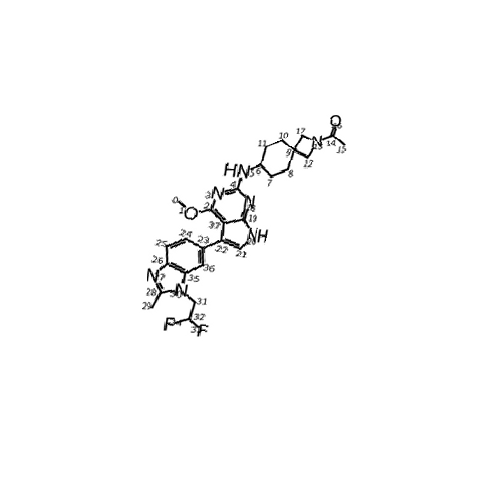 COc1nc(NC2CCC3(CC2)CN(C(C)=O)C3)nc2[nH]cc(-c3ccc4nc(C)n(CC(F)F)c4c3)c12